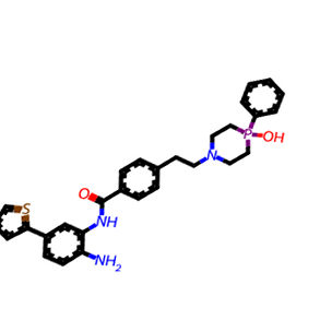 Nc1ccc(-c2cccs2)cc1NC(=O)c1ccc(CCN2CC[P](O)(c3ccccc3)CC2)cc1